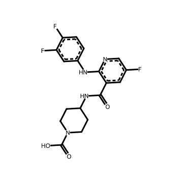 O=C(NC1CCN(C(=O)O)CC1)c1cc(F)cnc1Nc1ccc(F)c(F)c1